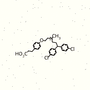 CN(CCOc1ccc(CCC(=O)O)cc1)CCC(c1ccc(Cl)cc1)c1ccc(Cl)cc1